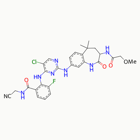 COCC(=O)NC1CC(C)(C)c2ccc(Nc3ncc(Cl)c(Nc4c(F)cccc4C(=O)NCC#N)n3)cc2NC1=O